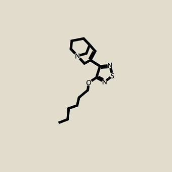 CCCCCCOc1nsnc1C1=CC2CCCN(C1)C2